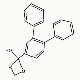 OC1(c2ccc(-c3ccccc3)c(-c3ccccc3)c2)OCO1